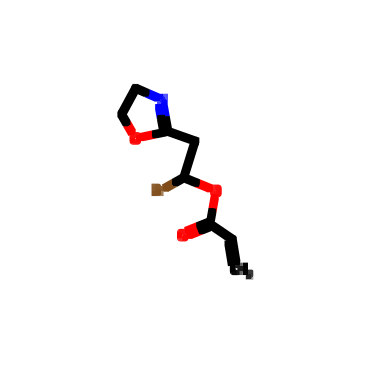 C=CC(=O)OC(Br)CC1=NCCO1